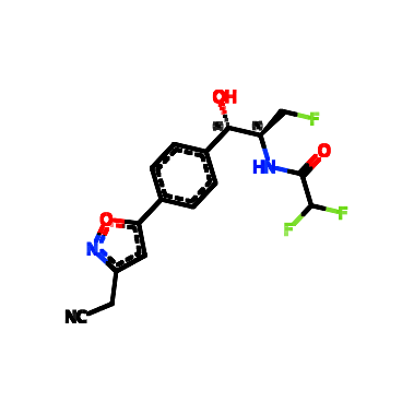 N#CCc1cc(-c2ccc([C@H](O)[C@@H](CF)NC(=O)C(F)F)cc2)on1